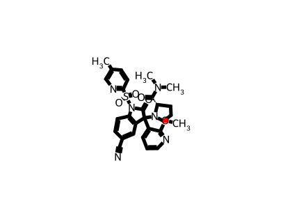 COc1ncccc1C1(N2CCC[C@H]2C(=O)N(C)C)C(=O)N(S(=O)(=O)c2ccc(C)cn2)c2ccc(C#N)cc21